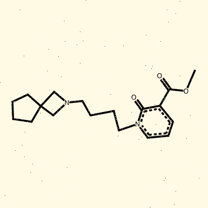 COC(=O)c1cccn(CCCCN2CC3(CCCC3)C2)c1=O